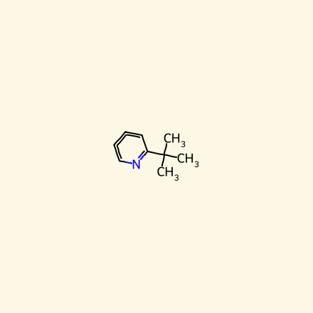 CC(C)(C)C1=NC=C=C=C1